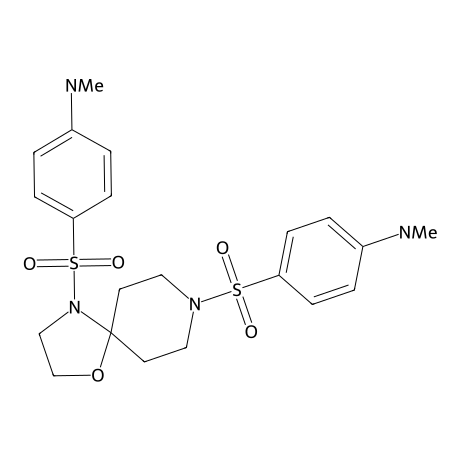 CNc1ccc(S(=O)(=O)N2CCC3(CC2)OCCN3S(=O)(=O)c2ccc(NC)cc2)cc1